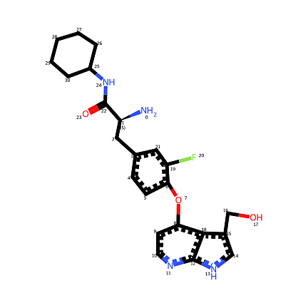 N[C@@H](Cc1ccc(Oc2ccnc3[nH]cc(CO)c23)c(F)c1)C(=O)NC1CCCCC1